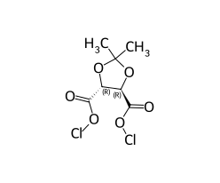 CC1(C)O[C@@H](C(=O)OCl)[C@H](C(=O)OCl)O1